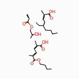 C=CC(=O)OCC(C)O.CCCCC(CC)CC=C(C)C(=O)O.CCCCOC(=O)C(C)=CC=C(C)C(=O)O